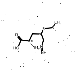 CSSC(CN=N)C[C@H](N)C(=O)O